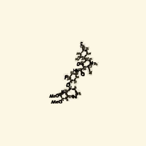 COc1cc2nccc(Oc3ccc(NC(=O)c4c(C)n(C)cc(-c5ccc(F)cc5C)c4=O)cc3F)c2nc1OC